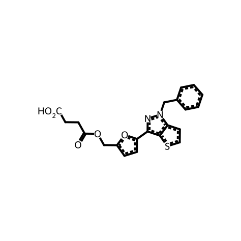 O=C(O)CCC(=O)OCc1ccc(-c2nn(Cc3ccccc3)c3ccsc23)o1